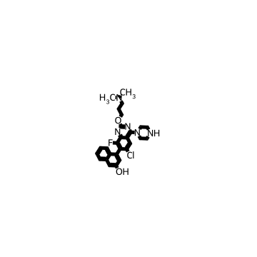 CN(C)CCCOc1nc(N2CCNCC2)c2cc(Cl)c(-c3cc(O)cc4ccccc34)c(F)c2n1